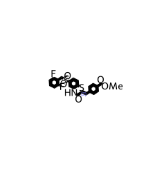 COC(=O)c1ccc(/C=C2\Sc3ccc(S(=O)(=O)Cc4c(F)cccc4F)cc3NC2=O)cc1